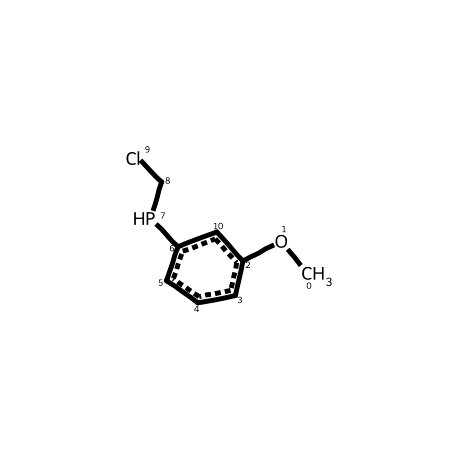 COc1cccc(PCCl)c1